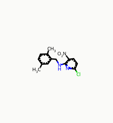 Cc1ccc(C)c(CNc2nc(Cl)ccc2[N+](=O)[O-])c1